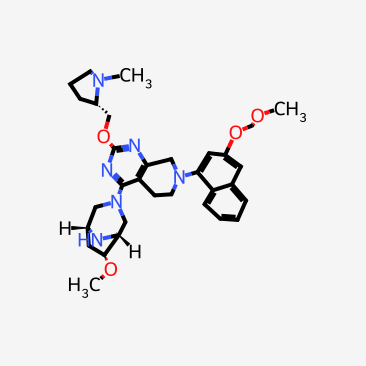 COCOc1cc(N2CCc3c(nc(OC[C@@H]4CCCN4C)nc3N3C[C@H]4C[C@@H](OC)[C@@H](C3)N4)C2)c2ccccc2c1